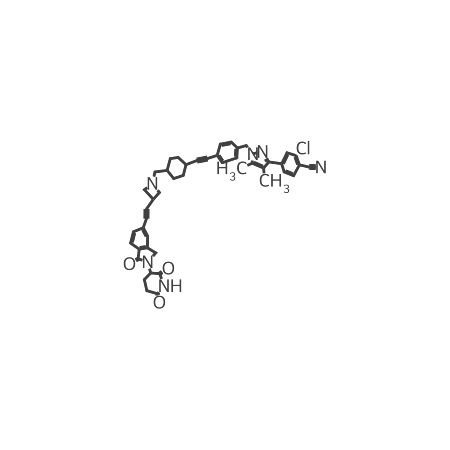 Cc1c(-c2ccc(C#N)c(Cl)c2)nn(Cc2ccc(C#CC3CCC(CN4CC(C#Cc5ccc6c(c5)CN(C5CCC(=O)NC5=O)C6=O)C4)CC3)cc2)c1C